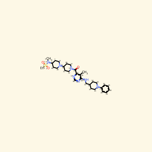 CCS(=O)(=O)N(C)C1CCN(C2CCN(C(=O)c3ncnc(NCC4CCN(c5ccccc5)CC4)c3C)CC2)CC1